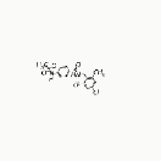 Cc1cc(Cl)cc(Cl)c1CNC(=O)c1ccc(NS(C)(=O)=O)cc1